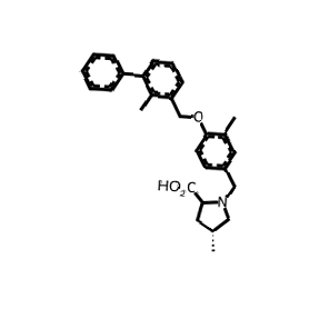 Cc1cc(CN2C[C@H](C)CC2C(=O)O)ccc1OCc1cccc(-c2ccccc2)c1C